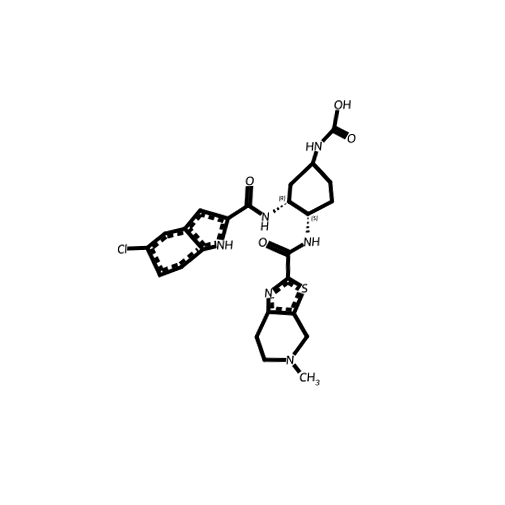 CN1CCc2nc(C(=O)N[C@H]3CCC(NC(=O)O)C[C@H]3NC(=O)c3cc4cc(Cl)ccc4[nH]3)sc2C1